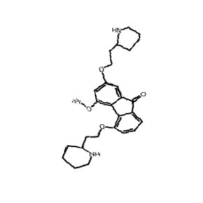 CCCOc1cc(OCCC2CCCCN2)cc2c1-c1c(OCCC3CCCCN3)cccc1C2=O